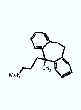 CNCCCC1(C)c2ccccc2CCc2ccccc21